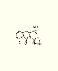 C[C@H](N)c1cc2cccc(Cl)c2c(=O)n1-c1cc[nH]n1